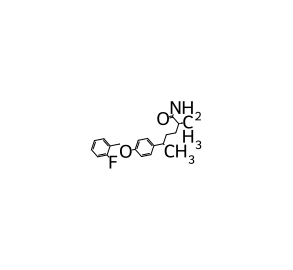 C[C@H](CC[C@H](C)C(N)=O)c1ccc(OCc2ccccc2F)cc1